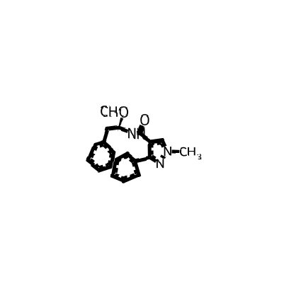 Cn1cc(C(=O)N[C@H](C=O)Cc2ccccc2)c(-c2ccccc2)n1